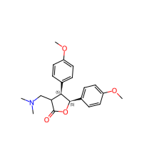 COc1ccc([C@H]2OC(=O)C(CN(C)C)[C@H]2c2ccc(OC)cc2)cc1